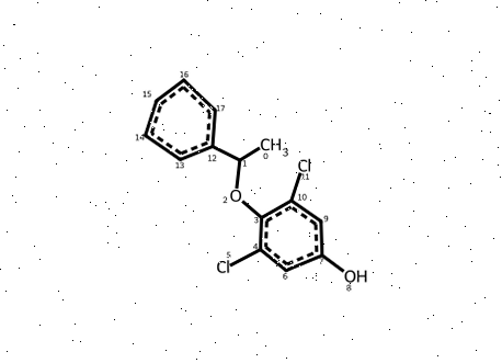 CC(Oc1c(Cl)cc(O)cc1Cl)c1ccccc1